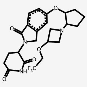 O=C1CCC(N2Cc3cc(OC4CCCC4N4CC(OCC(F)(F)F)C4)ccc3C2=O)C(=O)N1